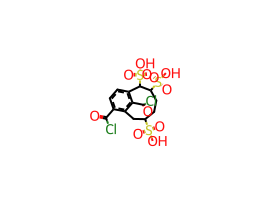 O=C(Cl)c1ccc2c(C(=O)Cl)c1CC(S(=O)(=O)O)CCC(S(=O)(=O)O)C2S(=O)(=O)O